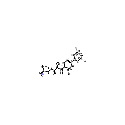 C=C(CC/C(N)=C\C)C(=O)NC1=CC=C(N2C[C@@H](C)O[C@@H](C)C2)C[C@@H]1C